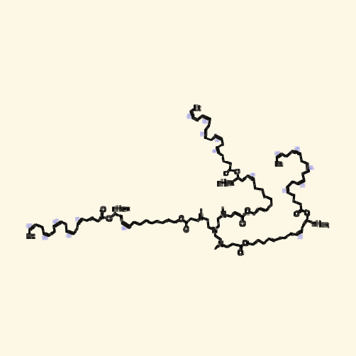 CC/C=C\C/C=C\C/C=C\C/C=C\C/C=C\CCCC(=O)OC(C/C=C\CCCCCCCCOC(=O)CCN(C)CCN(CCN(C)CCC(=O)OCCCCCCCC/C=C\CC(CCCCCC)OC(=O)CCC/C=C\C/C=C\C/C=C\C/C=C\C/C=C\CC)CCN(C)CCC(=O)OCCCCCCCC/C=C\CC(CCCCCC)OC(=O)CCC/C=C\C/C=C\C/C=C\C/C=C\C/C=C\CC)CCCCCC